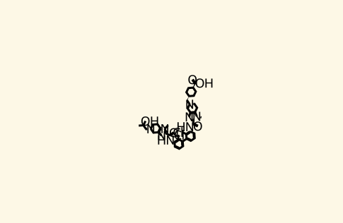 CC(O)CN1CCc2c(nc(C(=O)Nc3cccc(-c4cccc(NC(=O)c5nc6c(n5C)CCN(C[C@H]5CC[C@H](C(=O)O)CC5)C6)c4Cl)c3Cl)n2C)C1